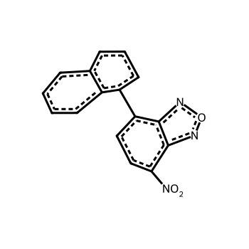 O=[N+]([O-])c1ccc(-c2cccc3ccccc23)c2nonc12